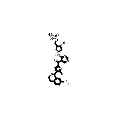 Cc1sc(C(=O)c2cncnc2N[C@@H]2CC(COS(N)(=O)=O)[C@@H](O)C2)cc1C1OCCc2ccc(C(F)(F)F)cc21